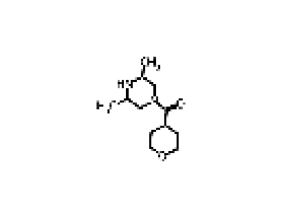 CC1CN(C(=O)C2CCOCC2)CC(C)N1